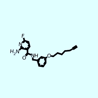 C#CCCCCCOc1cccc(CNC(=O)c2ccc(F)nc2N)c1